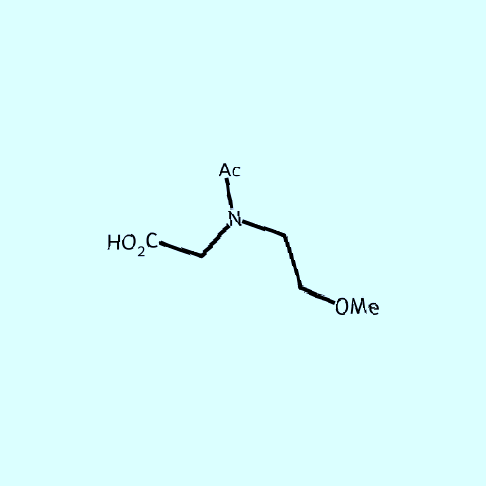 COCCN(CC(=O)O)C(C)=O